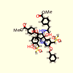 COC(=O)c1ccc(CC(C)NC(C(O)c2ccc(O)c(CS(C)(=O)=O)c2)C(O)(c2ccc(OCc3ccccc3)c(CS(C)(=O)=O)c2)C(N)C(C)Cc2ccc(C(=O)OC)cc2)cc1